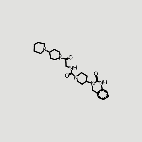 O=C(CNC(=O)N1CCC(N2Cc3ccccc3NC2=O)CC1)N1CCC(N2CCCCC2)CC1